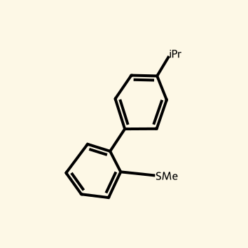 CSc1ccccc1-c1ccc(C(C)C)cc1